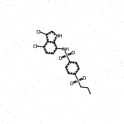 CCCS(=O)(=O)c1ccc(S(=O)(=O)Nc2ccc(Cl)c3c(Cl)c[nH]c23)cc1